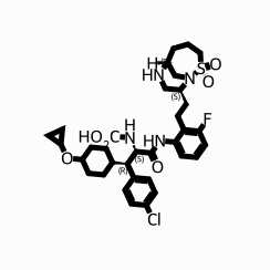 O=C(O)N[C@H](C(=O)Nc1cccc(F)c1CC[C@H]1CN[C@@H]2CCCS(=O)(=O)N1C2)[C@@H](c1ccc(Cl)cc1)C1CCC(OC2CC2)CC1